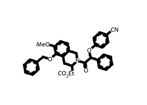 CCOC(=O)C1Cc2c(ccc(OC)c2OCc2ccccc2)CN1C(=O)C(Oc1ccc(C#N)cc1)c1ccccc1